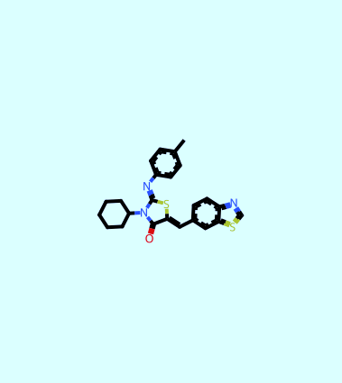 Cc1ccc(N=C2SC(=Cc3ccc4ncsc4c3)C(=O)N2C2CCCCC2)cc1